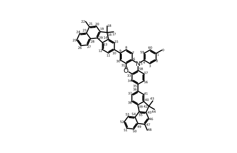 Cc1ccc(N2c3ccc(-c4ccc5c(c4)C(C)(C)c4cc(C)c6ccccc6c4-5)cc3Oc3cc(-c4ccc5c(c4)C(C)(C)c4cc(C)c6ccccc6c4-5)ccc32)cc1